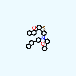 c1ccc2cc(-c3ccc(N(c4ccc5sc6ccc7oc8c9ccccc9ccc8c7c6c5c4)c4cccc5c4oc4ccccc45)cc3)ccc2c1